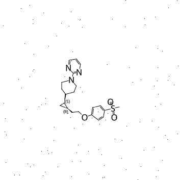 CS(=O)(=O)c1ccc(OCC[C@H]2C[C@H]2C2CCN(c3ncccn3)CC2)cc1